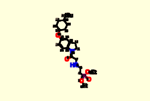 CCOP(=O)(CCNCC(=O)N1CCc2cc(OC3CCC(C(C)(C)C)CC3)ccc21)OCC